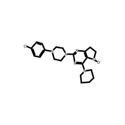 [O-][S+]1CCc2nc(N3CCN(c4ccc(Cl)cc4)CC3)nc(N3CCCCC3)c21